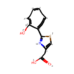 O=C(O)c1csc(-c2ccccc2O)n1